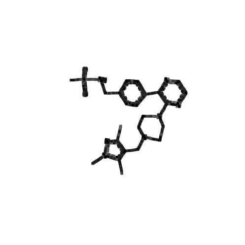 Cc1nn(C)c(C)c1CN1CCN(c2nccnc2-c2ccc(CNS(C)(=O)=O)cc2)CC1